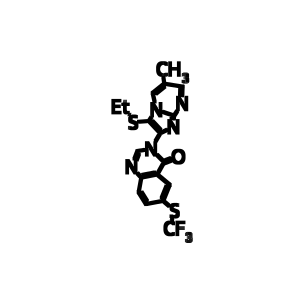 CCSc1c(-n2cnc3ccc(SC(F)(F)F)cc3c2=O)nc2ncc(C)cn12